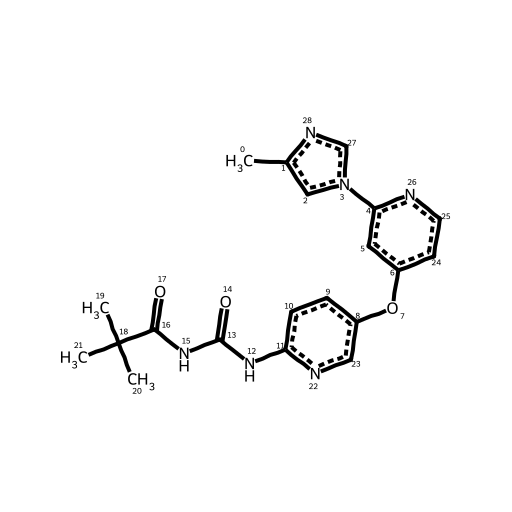 Cc1cn(-c2cc(Oc3ccc(NC(=O)NC(=O)C(C)(C)C)nc3)ccn2)cn1